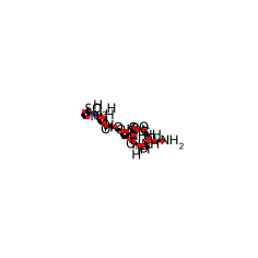 CC(C)[C@@H]1NC(=O)[C@@H](Cc2ccc(OCCCNC(=O)c3ccc(N/N=C/c4ccccc4S(=O)(=O)O)nc3)cc2)NC(=O)[C@H](CC(=O)O)NC(=O)CNC(=O)[C@H](CCCCCN)NC1=O